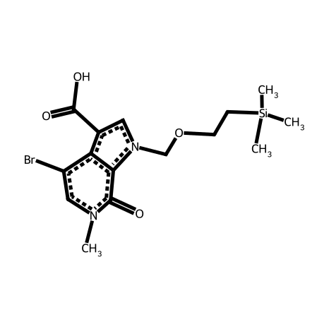 Cn1cc(Br)c2c(C(=O)O)cn(COCC[Si](C)(C)C)c2c1=O